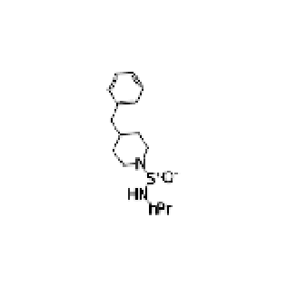 CCCN[S+]([O-])N1CCC(Cc2ccccc2)CC1